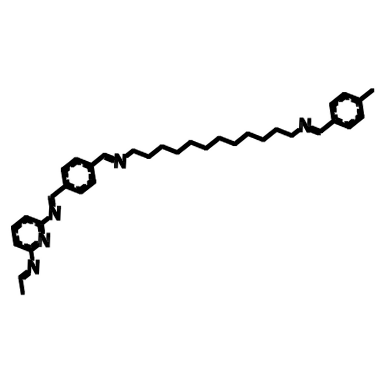 C/C=N/c1cccc(/N=C/c2ccc(C=NCCCCCCCCCCCCN=Cc3ccc(C)cc3)cc2)n1